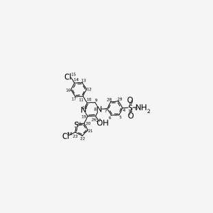 NS(=O)(=O)c1ccc(N2CC(c3ccc(Cl)cc3)=NC(c3ccc(Cl)s3)=C2O)cc1